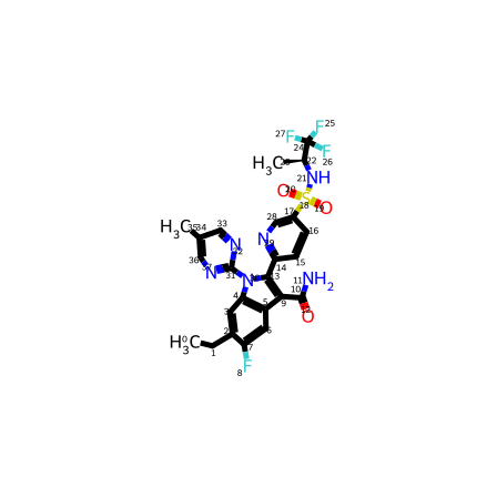 CCc1cc2c(cc1F)c(C(N)=O)c(-c1ccc(S(=O)(=O)N[C@@H](C)C(F)(F)F)cn1)n2-c1ncc(C)cn1